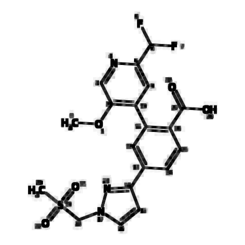 COc1cnc(C(F)F)cc1-c1cc(-c2ccn(CS(C)(=O)=O)n2)ccc1C(=O)O